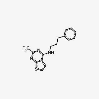 FC(F)(F)c1nc(NCCCc2ccccc2)c2ccsc2n1